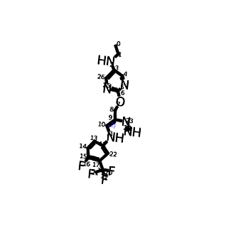 CCNc1cnc(OC/C(=C/Nc2ccc(F)c(C(F)(F)F)c2)N=N)nc1